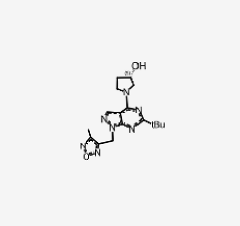 Cc1nonc1Cn1ncc2c(N3CC[C@H](O)C3)nc(C(C)(C)C)nc21